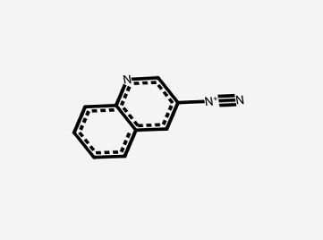 N#[N+]c1cnc2ccccc2c1